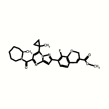 COC(=O)C1=Cc2ccc(-c3cc4nc(C(=O)N5CCCCC[C@H]5C)cc(C5(C)CC5)n4n3)c(F)c2OC1